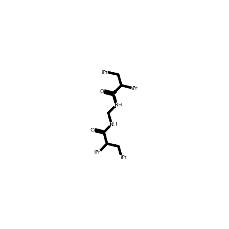 CC(C)CC(C(=O)NCNC(=O)C(CC(C)C)C(C)C)C(C)C